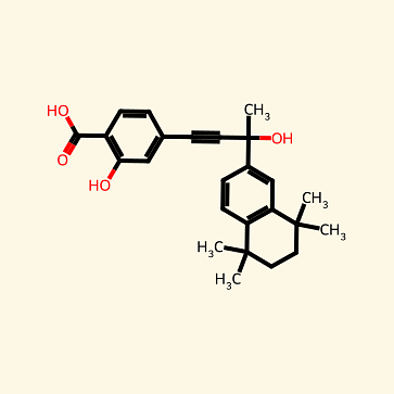 CC(O)(C#Cc1ccc(C(=O)O)c(O)c1)c1ccc2c(c1)C(C)(C)CCC2(C)C